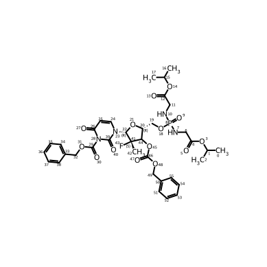 CC(C)OC(=O)CNP(=O)(NCC(=O)OC(C)C)OC[C@H]1O[C@@H](n2ccc(=O)n(C(=O)OCc3ccccc3)c2=O)[C@@](C)(F)C1OC(=O)OCc1ccccc1